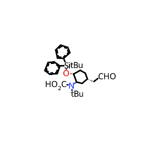 CC(C)(C)N(C(=O)O)[C@@H]1C[C@@H](CC=O)CC[C@H]1O[Si](c1ccccc1)(c1ccccc1)C(C)(C)C